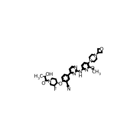 COc1nc(Nc2nccc(-c3ccc(O[C@@H]4CCN(C(=O)[C@@H](C)O)C[C@@H]4F)c(C#N)c3)n2)ccc1N1CCN(C2COC2)CC1